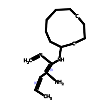 C=N/C(NC1CCCCCCCCC1)=C(N)\C=C/C